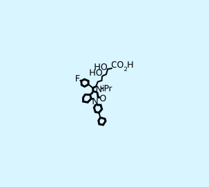 CC(C)n1c(CCC(O)CC(O)CC(=O)O)c(-c2ccc(F)cc2)c2c3ccccc3n(-c3ccc(-c4ccccc4)cc3)c(=O)c21